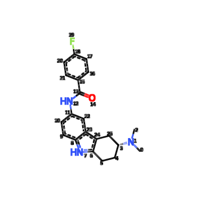 CN(C)[C@@H]1CCc2[nH]c3ccc(NC(=O)c4ccc(F)cc4)cc3c2C1